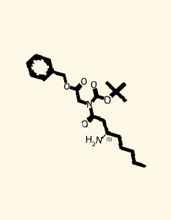 CCCCC[C@H](N)CC(=O)N(CC(=O)OCc1ccccc1)C(=O)OC(C)(C)C